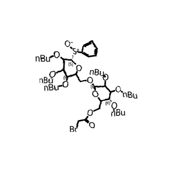 CCCCOC1C(OCCCC)[C@H](OCCCC)C(COC(=O)CBr)O[C@H]1OCC1O[C@@H]([S+]([O-])c2ccccc2)C(OCCCC)C(OCCCC)[C@@H]1OCCCC